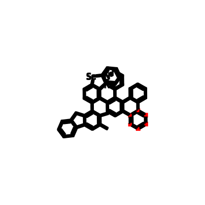 Cc1cc2c(c(-c3ccc4[se]c5ccccc5c4c3-c3ccc(-c4ccccc4)c(-c4ccccc4-c4ccccc4)c3-c3ccnnn3)c1C)Cc1ccccc1-2